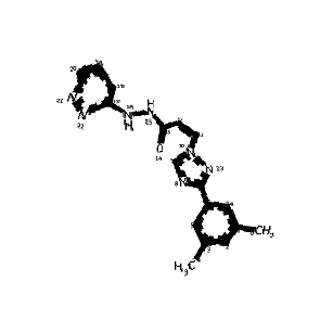 Cc1cc(C)cc(-c2ncn(/C=C\C(=O)NNc3cccnn3)n2)c1